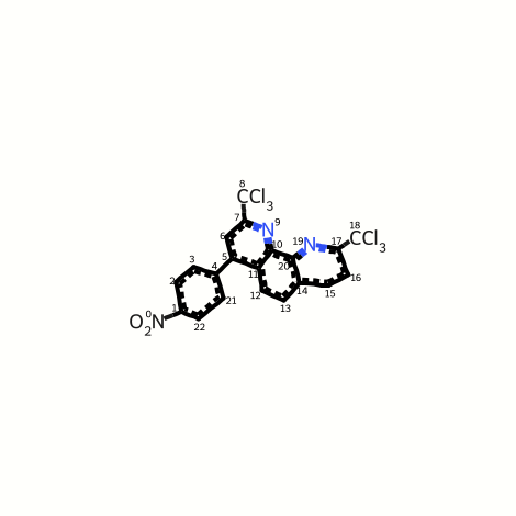 O=[N+]([O-])c1ccc(-c2cc(C(Cl)(Cl)Cl)nc3c2ccc2ccc(C(Cl)(Cl)Cl)nc23)cc1